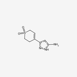 Nc1cc(C2=CCS(=O)(=O)CC2)n[nH]1